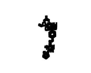 CCOC(=O)[C@H](CC(C)C)NS(=O)(=O)c1ccc(CSc2nnc(-c3cccs3)n2C)cc1